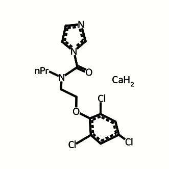 CCCN(CCOc1c(Cl)cc(Cl)cc1Cl)C(=O)n1ccnc1.[CaH2]